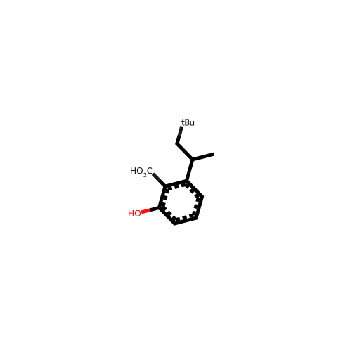 CC(CC(C)(C)C)c1cccc(O)c1C(=O)O